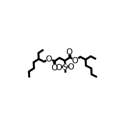 CCCCC(CC)COC(=O)CC(C(=O)OCC(CC)CCCC)S(C)(=O)=O